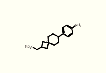 CCOC(=O)CC1CC2(CCC(c3ccc(N)cc3)CC2)C1